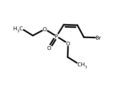 CCOP(=O)(/C=C\CBr)OCC